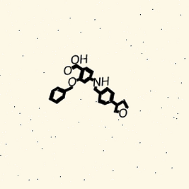 O=C(O)c1ccc(NCc2ccc(C3CCOC3)cc2)cc1OCc1ccccc1